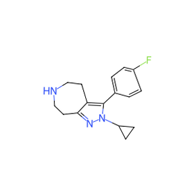 Fc1ccc(-c2c3c(nn2C2CC2)CCNCC3)cc1